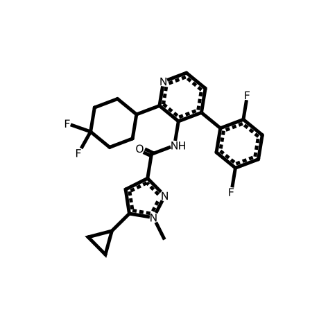 Cn1nc(C(=O)Nc2c(-c3cc(F)ccc3F)ccnc2C2CCC(F)(F)CC2)cc1C1CC1